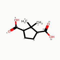 CC1(C)C(C(=O)O)CCC1C(=O)O